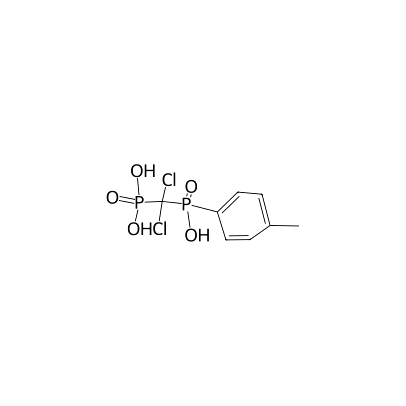 Cc1ccc(P(=O)(O)C(Cl)(Cl)P(=O)(O)O)cc1